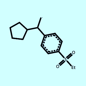 [CH2]C(c1ccc(S(=O)(=O)CC)cc1)C1CCCC1